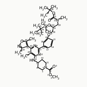 COC(=O)N1CCC(Nc2nc(-c3cccc(OC[C@H](CN(C)C(=O)OC(C)(C)C)O[Si](C)(C)C(C)(C)C)c3)nc(-c3c(C)noc3C)c2C)CC1